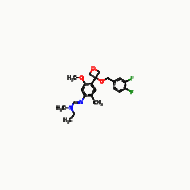 CCN(C)C=Nc1cc(OC)c(C2(OCc3ccc(F)c(F)c3)COC2)cc1C